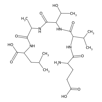 CC(C)CC(NC(=O)C(C)NC(=O)C(NC(=O)C(NC(=O)C(N)CCC(=O)O)C(C)C)C(C)O)C(=O)O